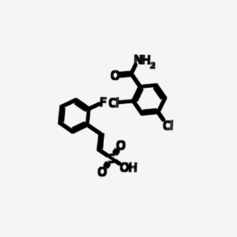 NC(=O)c1ccc(Cl)cc1Cl.O=S(=O)(O)/C=C/c1ccccc1F